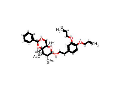 C=CCOc1ccc(CCO[C@@H]2O[C@@H]3COC(c4ccccc4)O[C@H]3[C@H](OC(C)=O)[C@H]2OC(C)=O)cc1OCC=C